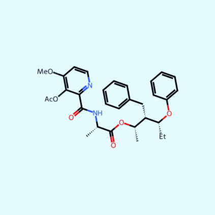 CC[C@@H](Oc1ccccc1)[C@@H](Cc1ccccc1)[C@H](C)OC(=O)[C@H](C)NC(=O)c1nccc(OC)c1OC(C)=O